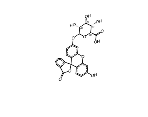 O=C1OC2(c3ccc(O)cc3Oc3cc(OC4O[C@H](C(=O)O)[C@@H](O)[C@H](O)[C@H]4O)ccc32)c2ccccc21